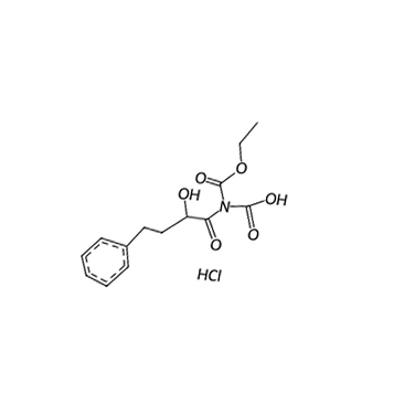 CCOC(=O)N(C(=O)O)C(=O)C(O)CCc1ccccc1.Cl